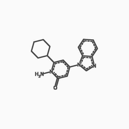 Nn1c(C2CCCCC2)cc(-n2cnc3ccccc32)cc1=O